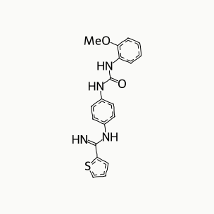 COc1ccccc1NC(=O)Nc1ccc(NC(=N)c2cccs2)cc1